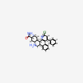 NCC(c1ccccc1)C(c1cc(-c2ccccc2)cc(Cl)n1)C1CCC(C(N)=O)CC1